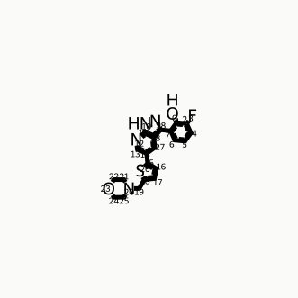 Oc1c(F)cccc1-c1n[nH]c2ncc(-c3ccc(CN4CCOCC4)s3)cc12